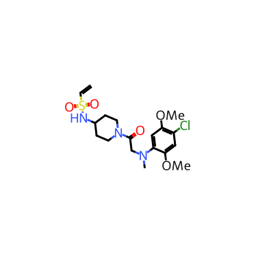 C=CS(=O)(=O)NC1CCN(C(=O)CN(C)c2cc(OC)c(Cl)cc2OC)CC1